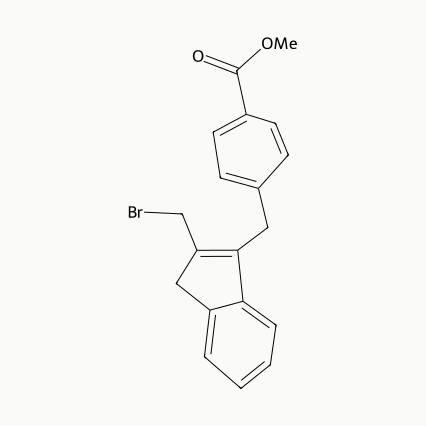 COC(=O)c1ccc(CC2=C(CBr)Cc3ccccc32)cc1